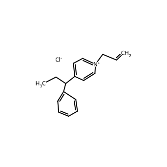 C=CC[n+]1ccc(C(CC)c2ccccc2)cc1.[Cl-]